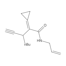 C#CC(CCCC)C(C(=O)NCC=C)=C1CC1